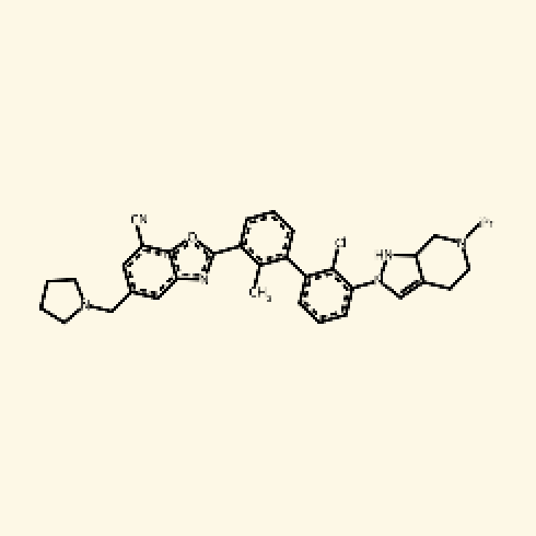 Cc1c(-c2nc3cc(CN4CCCC4)cc(C#N)c3o2)cccc1-c1cccc(N2C=C3CCN(C(C)C)CC3N2)c1Cl